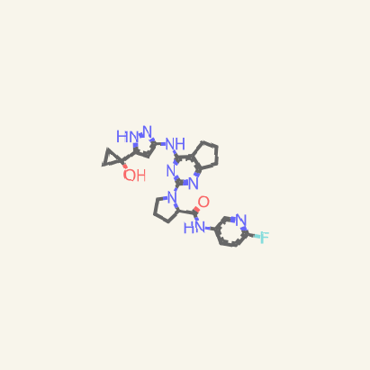 O=C(Nc1ccc(F)nc1)C1CCCN1c1nc2c(c(Nc3cc(C4(O)CC4)[nH]n3)n1)CCC2